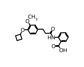 COc1cc(CCC(=O)Nc2ccccc2C(=O)O)ccc1OC1CCC1